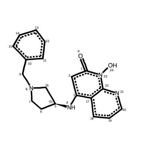 O=c1cc(N[C@H]2CCN(Cc3ccccc3)C2)c2cccnc2n1O